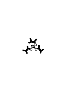 CC(C)=C(C)O[Si](C)(OC(C)=C(C)C)OC(C)=C(C)C